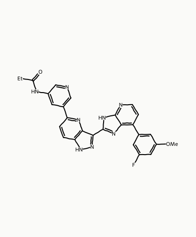 CCC(=O)Nc1cncc(-c2ccc3[nH]nc(-c4nc5c(-c6cc(F)cc(OC)c6)ccnc5[nH]4)c3n2)c1